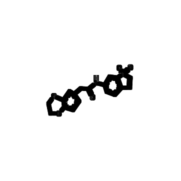 O=C(Cc1ccc2c(c1)OCCO2)Nc1ccc2c(c1)S(=O)(=O)C=C2